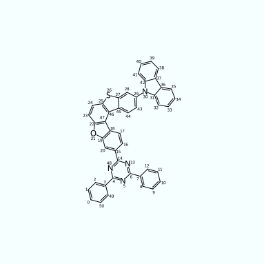 c1ccc(-c2nc(-c3ccccc3)nc(-c3ccc4c(c3)oc3ccc5sc6cc(-n7c8ccccc8c8ccccc87)ccc6c5c34)n2)cc1